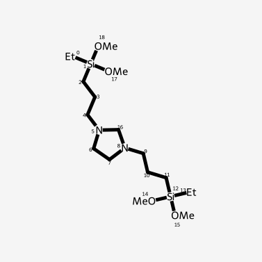 CC[Si](CCCN1CCN(CCC[Si](CC)(OC)OC)C1)(OC)OC